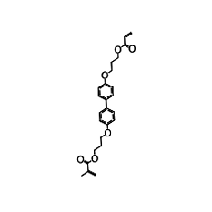 C=CC(=O)OCCCOc1ccc(-c2ccc(OCCCOC(=O)C(=C)C)cc2)cc1